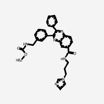 CCCCOC(=O)NCc1cccc(-c2nc3cc(C(=O)NCCCn4ccnc4)ccc3nc2-c2ccccc2)c1